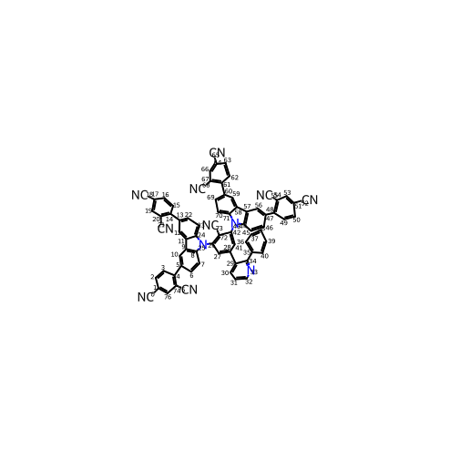 N#Cc1ccc(-c2ccc3c(c2)c2cc(-c4ccc(C#N)cc4C#N)ccc2n3-c2cc(-c3cccnc3-c3ccccc3)cc(-n3c4ccc(-c5ccc(C#N)cc5C#N)cc4c4cc(-c5ccc(C#N)cc5C#N)ccc43)c2C#N)c(C#N)c1